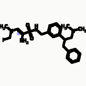 CN(C)CC(Cc1ccccc1)c1cccc(CNS(=O)(=O)/C(N)=C/N(C)CI)c1